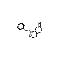 c1ccc(CCN2OCCN3CCNCC32)cc1